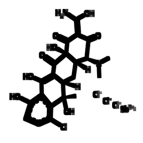 CN(C)[C@@H]1C(=O)/C(=C(/N)O)C(=O)[C@@]2(O)C(=O)C3=C(O)c4c(O)ccc(Cl)c4[C@@](C)(O)[C@H]3C[C@@H]12.[Cl-].[Cl-].[Cl-].[Sb+3]